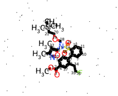 COC(=O)c1ccc(-c2ccccc2S(=O)(=O)N(COCC[Si](C)(C)C)c2onc(C)c2C)c(CCF)c1